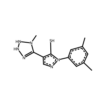 Cc1cc(C)cc(-n2ncc(C3=NNNN3C)c2S)c1